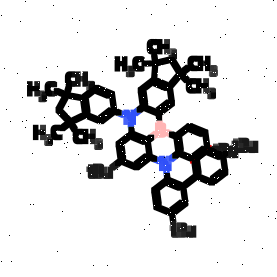 CC(C)(C)c1ccc(-c2cc(C(C)(C)C)ccc2N2c3cc(C(C)(C)C)ccc3B3c4cc5c(cc4N(c4ccc6c(c4)C(C)(C)CC6(C)C)c4cc(C(C)(C)C)cc2c43)C(C)(C)CC5(C)C)cc1